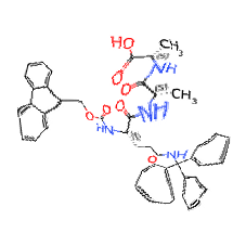 C[C@H](NC(=O)[C@H](C)NC(=O)[C@H](CCC(=O)NC(c1ccccc1)(c1ccccc1)c1ccccc1)NC(=O)OCC1c2ccccc2-c2ccccc21)C(=O)O